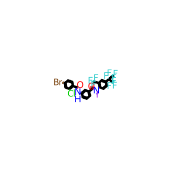 O=C(Nc1cccc(C(=O)N(I)c2ccc(C(F)(C(F)(F)F)C(F)(F)F)cc2C(F)(F)F)c1)c1ccc(Br)cc1Cl